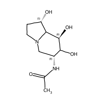 CC(=O)N[C@@H]1CN2CC[C@H](O)C2[C@@H](O)C1O